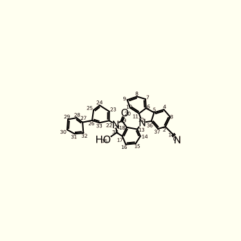 N#Cc1ccc2c3ccccc3n(-c3cccc4c3C(=O)N(c3cccc(-c5ccccc5)c3)C4O)c2c1